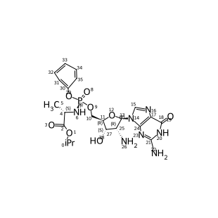 CC(C)OC(=O)[C@H](C)N[P@@](=O)(OC[C@H]1O[C@@H](n2cnc3c(=O)[nH]c(N)nc32)[C@H](N)[C@@H]1O)Oc1ccccc1